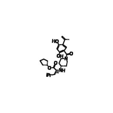 C=C(C)c1cc(C(=O)N2CCC(N[C@@H](CC(C)C)C(=O)OC3CCCC3)CC2)c(O)cc1O